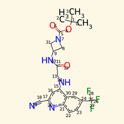 CC(C)(C)OC(=O)N1CC(NC(=O)CNc2cc(C#N)nc3ccc(C(F)(F)F)cc23)C1